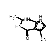 N#Cc1c[nH]c2c1C(=O)NC(N)N2